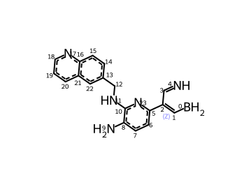 B/C=C(\C=N)c1ccc(N)c(NCc2ccc3ncccc3c2)n1